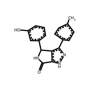 Cc1ccc(-c2n[nH]c3c2C(c2cccc(O)c2)NC3=O)cc1